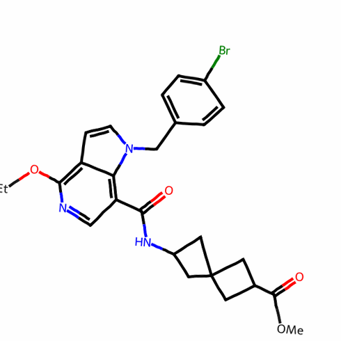 CCOc1ncc(C(=O)NC2CC3(C2)CC(C(=O)OC)C3)c2c1ccn2Cc1ccc(Br)cc1